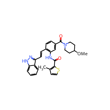 COC1CCN(C(=O)c2ccc(C=Cc3n[nH]c4ccccc34)c(NC(=O)c3sccc3C)c2)CC1